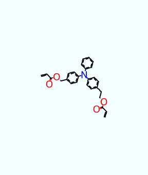 C=CC(=O)OCCc1ccc(N(c2ccccc2)c2ccc(COC(=O)C=C)cc2)cc1